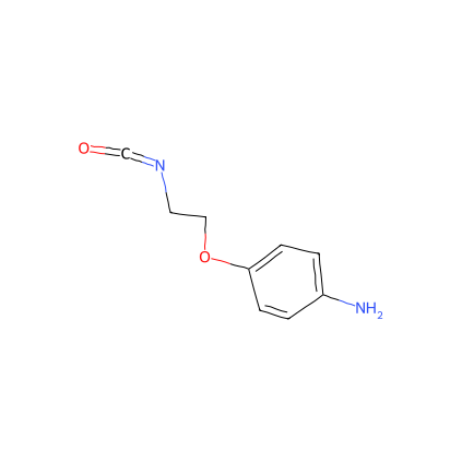 Nc1ccc(OCCN=C=O)cc1